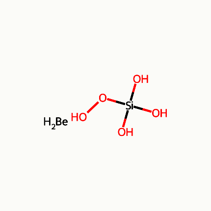 OO[Si](O)(O)O.[BeH2]